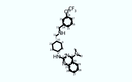 CN(C)c1nc(N[C@H]2CC[C@@H](CNCc3cccc(OC(F)(F)F)c3)CC2)nc2ccccc12